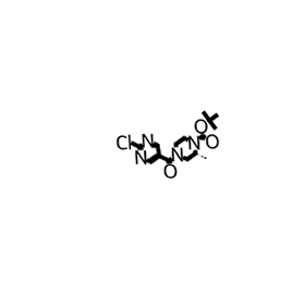 C[C@@H]1CN(C(=O)c2cnc(Cl)nc2)CCN1C(=O)OC(C)(C)C